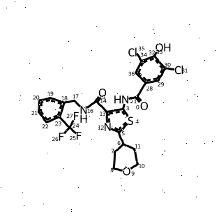 O=C(Nc1sc(C2CCOCC2)nc1C(=O)NCc1ccccc1C(F)(F)F)c1cc(Cl)c(O)c(Cl)c1